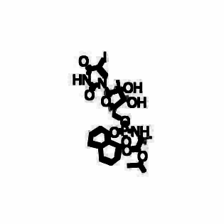 CC(C)OC(=O)[C@@H](C)NP(=O)(OC[C@H]1O[C@@H](n2cc(I)c(=O)[nH]c2=O)[C@](C)(O)[C@@H]1O)Oc1cccc2ccccc12